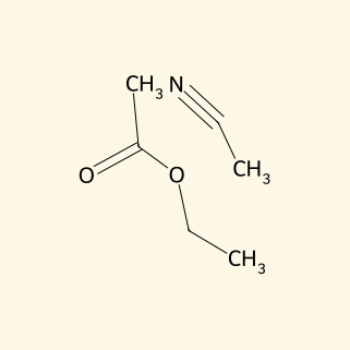 CC#N.CCOC(C)=O